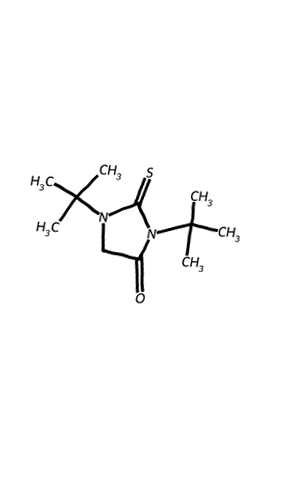 CC(C)(C)N1CC(=O)N(C(C)(C)C)C1=S